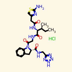 CC[C@H](C)[C@H](NC(=O)Cc1csc(N)n1)C(=O)NCC(=O)N1c2ccccc2C[C@H]1C(=O)NCc1nn[nH]n1.Cl